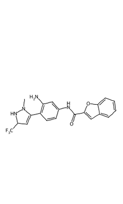 CN1NC(C(F)(F)F)C=C1c1ccc(NC(=O)c2cc3ccccc3o2)cc1N